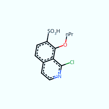 CCCOc1c(S(=O)(=O)O)ccc2ccnc(Cl)c12